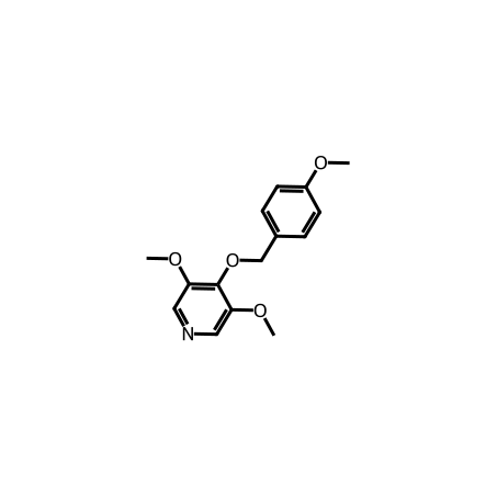 COc1ccc(COc2c(OC)cncc2OC)cc1